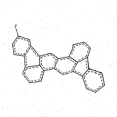 Fc1ccc2c(c1)c1cc3c(cc4c5ccccc5c5cccc3c54)c3cccc2c31